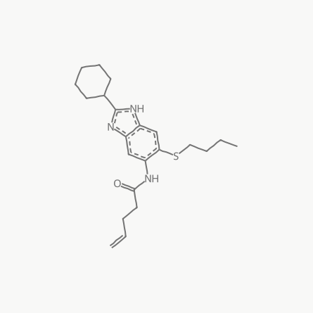 C=CCCC(=O)Nc1cc2nc(C3CCCCC3)[nH]c2cc1SCCCC